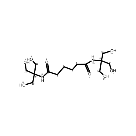 O=C(CCCCC(=O)NC(CO)(CO)CO)NC(CO)(CO)CO